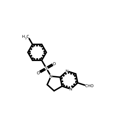 Cc1ccc(S(=O)(=O)N2CCc3nc(C=O)cnc32)cc1